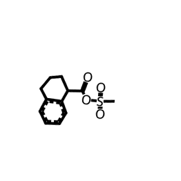 CS(=O)(=O)OC(=O)C1CCCc2ccccc21